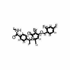 CNC(=O)c1ccc(C(C)n2c(C)cc(OCc3ccc(F)cc3F)c(Br)c2=O)cc1